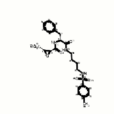 CCOC(=O)[C@H]1O[C@@H]1C(=O)N[C@@H](Cc1ccccc1)C(=O)NCCCCNS(=O)(=O)c1ccc(C)cc1